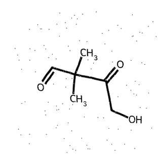 CC(C)(C=O)C(=O)CO